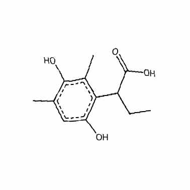 CCC(C(=O)O)c1c(O)cc(C)c(O)c1C